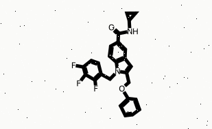 O=C(NC1CC1)c1ccc2c(c1)cc(COc1ccccc1)n2Cc1ccc(F)c(F)c1F